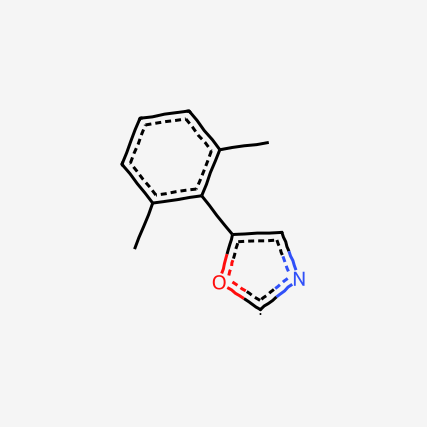 Cc1cccc(C)c1-c1cn[c]o1